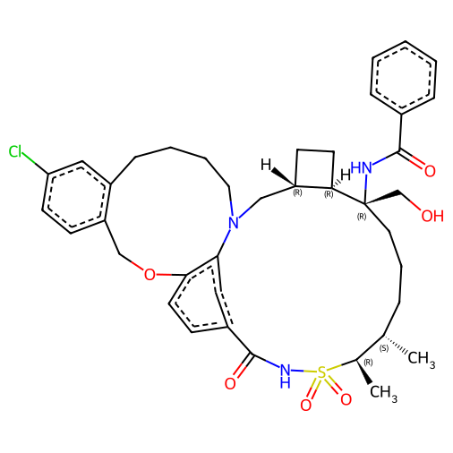 C[C@@H]1[C@@H](C)CCC[C@@](CO)(NC(=O)c2ccccc2)[C@@H]2CC[C@H]2CN2CCCCc3cc(Cl)ccc3COc3ccc(cc32)C(=O)NS1(=O)=O